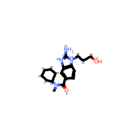 CN(C(=O)c1ccc2c(c1)nc(N)n2CCCO)C1CCCCC1